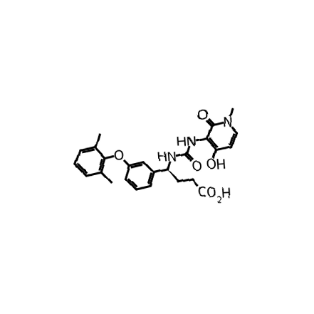 Cc1cccc(C)c1Oc1cccc([C@H](CCC(=O)O)NC(=O)Nc2c(O)ccn(C)c2=O)c1